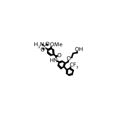 COc1cc(C(=O)Nc2ccc(-c3ccccc3C(F)(F)F)c(COCCCO)c2)ccc1S(N)(=O)=O